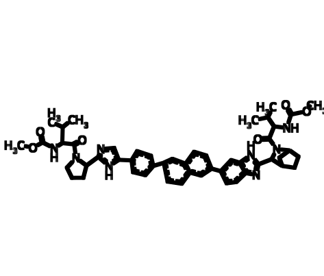 COC(=O)NC(C(=O)N1CCCC1c1ncc(-c2ccc(-c3ccc4cc(-c5ccc6nc(C7C8CCC(C8)N7C(=O)C(NC(=O)OC)C(C)C)[nH]c6c5)ccc4c3)cc2)[nH]1)C(C)C